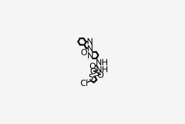 O=C(Nc1ccc(-n2cnc3ccccc3c2=O)nc1)NS(=O)(=O)c1ccc(Cl)s1